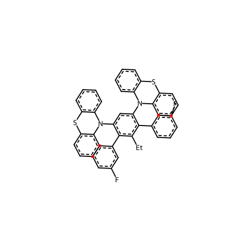 CCc1c(-c2cccc(F)c2)c(N2c3ccccc3Sc3ccccc32)cc(N2c3ccccc3Sc3ccccc32)c1-c1cccc(F)c1